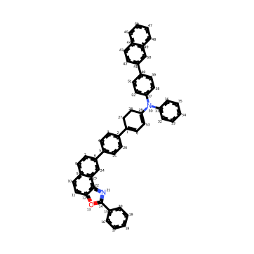 C1=C(c2ccc(-c3ccc4ccc5oc(-c6ccccc6)nc5c4c3)cc2)CCC(N(c2ccccc2)c2ccc(-c3ccc4ccccc4c3)cc2)=C1